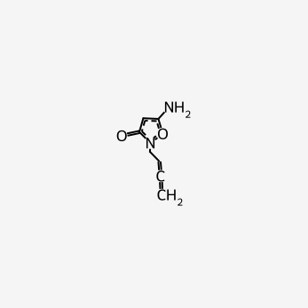 C=C=CCn1oc(N)cc1=O